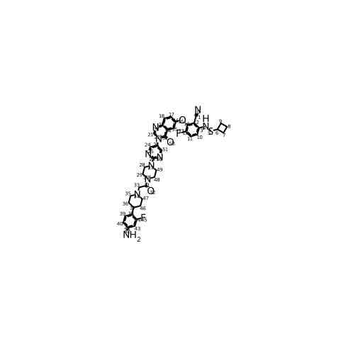 N#Cc1c(NSC2CCC2)ccc(F)c1Oc1ccc2ncn(-c3cnc(N4CCN(C(=O)CN5CCC(c6ccc(N)cc6F)CC5)CC4)nc3)c(=O)c2c1